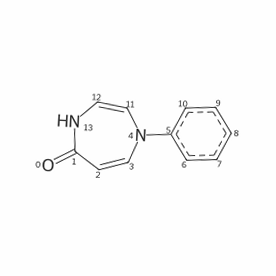 O=C1C=CN(c2ccccc2)C=CN1